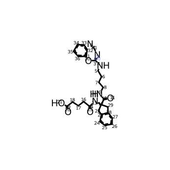 N#C/N=C(/NCCCCNC(=O)C1(NC(=O)CCCC(=O)O)Cc2ccccc2C1)Oc1ccccc1